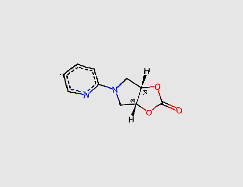 O=C1O[C@H]2CN(c3cc[c]cn3)C[C@H]2O1